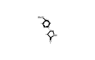 CSc1ccc([C@@H]2CNC(=O)C2)cc1